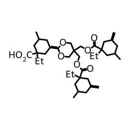 C=C1CC(C)CC(CC)(C(=O)OCC2(COC(=O)C3(CC)CC(=C)CC(C)C3)COC(=C3CC(C)CC(CC)(C(=O)O)C3)OC2)C1